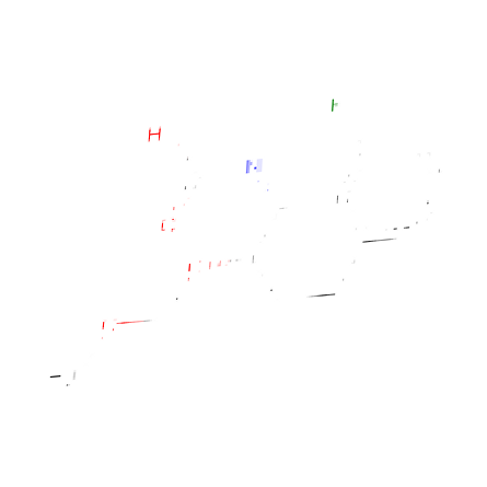 COCO[C@H]1CCc2cccc(F)c2[C@H]1NC(=O)O